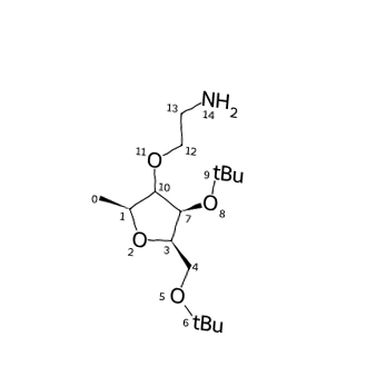 C[C@@H]1O[C@H](COC(C)(C)C)[C@H](OC(C)(C)C)C1OCCN